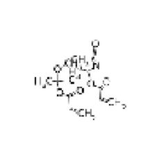 C=CC(=O)OC(C)(C)OC.C=CC(=O)OC(CC)N=C=O